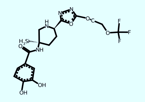 O=C(N[C@]1([SiH3])CC[C@H](c2nnc(OCCOC(F)(F)F)o2)NC1)c1ccc(O)c(O)c1